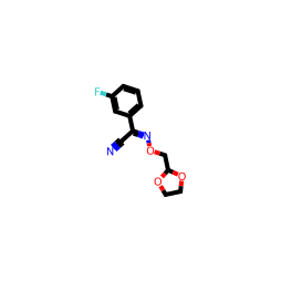 N#CC(=NOCC1OCCO1)c1cccc(F)c1